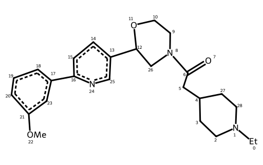 CCN1CCC(CC(=O)N2CCOC(c3ccc(-c4cccc(OC)c4)nc3)C2)CC1